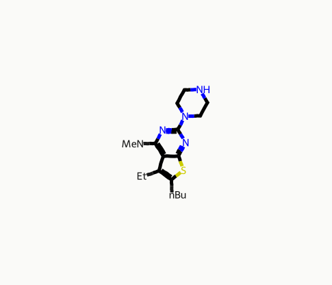 CCCCc1sc2nc(N3CCNCC3)nc(NC)c2c1CC